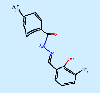 Cc1ccc(C(=O)N/N=C/c2cccc(C(F)(F)F)c2O)cc1